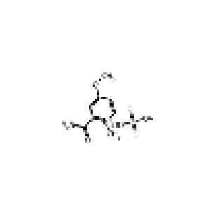 COc1cc[n+](C)c(C(N)=O)c1.O=S(=O)(O)O